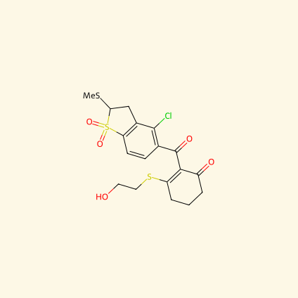 CSC1Cc2c(ccc(C(=O)C3=C(SCCO)CCCC3=O)c2Cl)S1(=O)=O